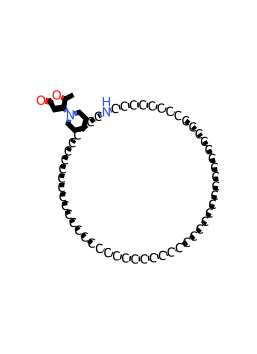 CC1OC(=O)C=C1N1CCC2(CCCCCCCCCCCCCCCCCCCCCCCCCCCCCCCCCCCCCCCCCCCCCCCCNCC2)CC1